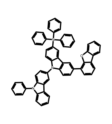 c1ccc(-n2c3ccccc3c3cc(-n4c5ccc(-c6cccc7c6oc6ccccc67)cc5c5cc([Si](c6ccccc6)(c6ccccc6)c6ccccc6)ccc54)ccc32)cc1